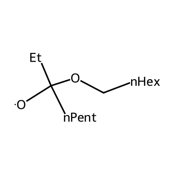 CCCCCCCOC([O])(CC)CCCCC